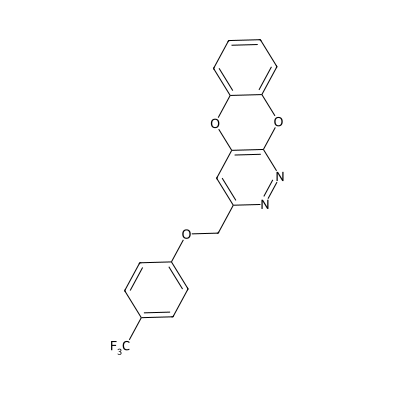 FC(F)(F)c1ccc(OCc2cc3c(nn2)Oc2ccccc2O3)cc1